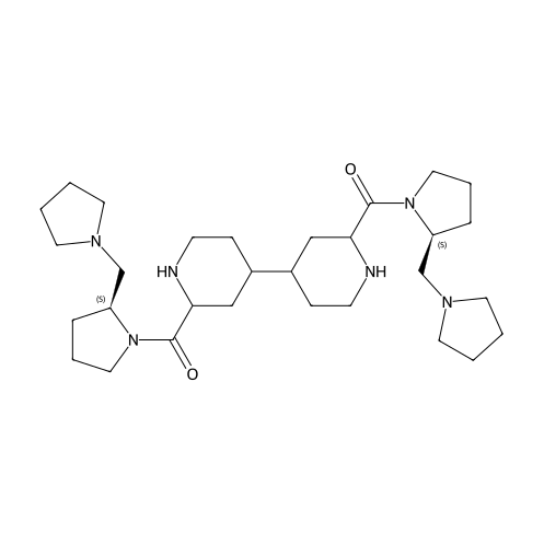 O=C(C1CC(C2CCNC(C(=O)N3CCC[C@H]3CN3CCCC3)C2)CCN1)N1CCC[C@H]1CN1CCCC1